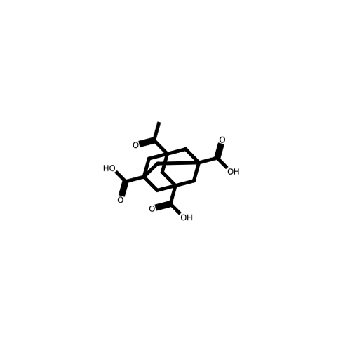 CC(=O)C12CC3(C(=O)O)CC(C(=O)O)(C1)CC(C(=O)O)(C2)C3